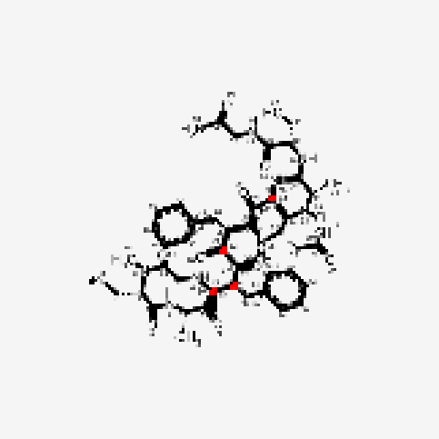 CC(C)C[C@@H](C(=O)N[C@@H](C)C(=O)N[C@H](C(=O)N[C@@H](Cc1ccccc1)C(=O)N[C@@H](CC(=O)S)C(=O)N(C)[C@@H](C)C(=O)N[C@@H](CO)C(=O)NCC(N)=O)C(C)C)N(C)C(=O)CNC(=O)[C@H](Cc1ccccc1)N(C)C(=O)[C@H](C)NC(=O)CN